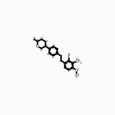 CCOc1ccc(CCc2ccc(C3CCC(C)OC3)cc2)c(F)c1C(F)(F)F